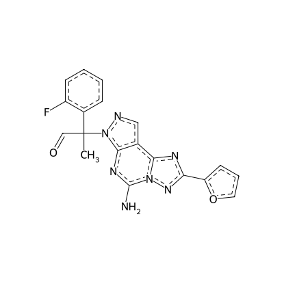 CC(C=O)(c1ccccc1F)n1ncc2c1nc(N)n1nc(-c3ccco3)nc21